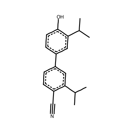 CC(C)c1cc(-c2ccc(C#N)c(C(C)C)c2)ccc1O